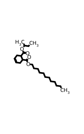 CCCCCCCCCCCCOC(=O)C1CC=CCC1C(=O)OC(C)CC